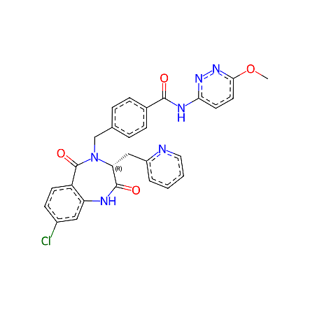 COc1ccc(NC(=O)c2ccc(CN3C(=O)c4ccc(Cl)cc4NC(=O)[C@H]3Cc3ccccn3)cc2)nn1